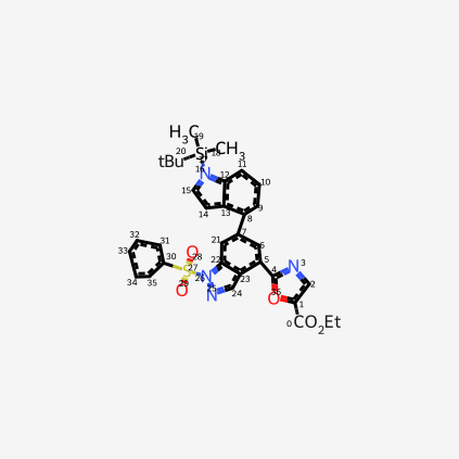 CCOC(=O)c1cnc(-c2cc(-c3cccc4c3ccn4[Si](C)(C)C(C)(C)C)cc3c2cnn3S(=O)(=O)c2ccccc2)o1